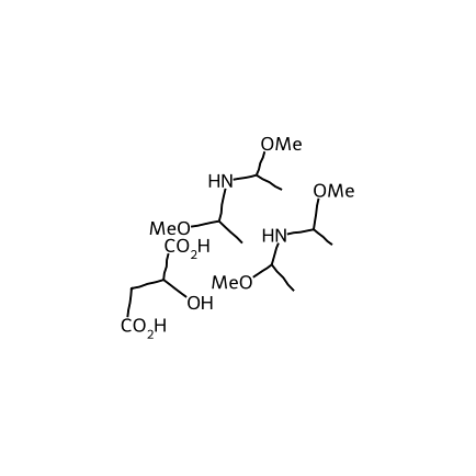 COC(C)NC(C)OC.COC(C)NC(C)OC.O=C(O)CC(O)C(=O)O